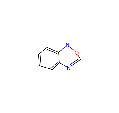 C1=Nc2ccccc2[N]O1